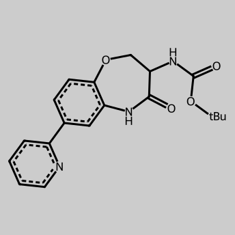 CC(C)(C)OC(=O)NC1COc2ccc(-c3ccccn3)cc2NC1=O